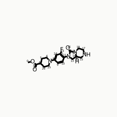 COC(=O)C1CCN(c2ccc(N3C[C@@H]4CNCCN4C3=O)c(F)c2)CC1